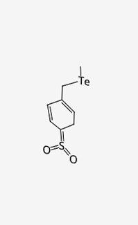 C[Te]CC1=CCC(=S(=O)=O)C=C1